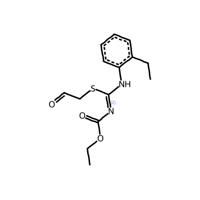 CCOC(=O)/N=C(/Nc1ccccc1CC)SCC=O